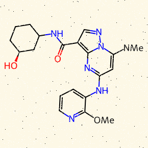 CNc1cc(Nc2cccnc2OC)nc2c(C(=O)NC3CCC[C@H](O)C3)cnn12